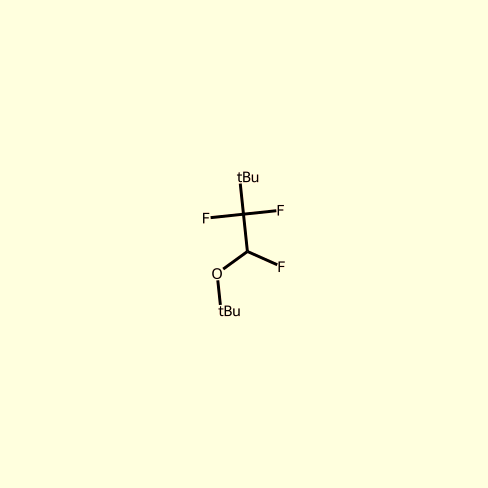 CC(C)(C)OC(F)C(F)(F)C(C)(C)C